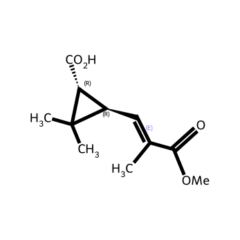 COC(=O)/C(C)=C/[C@@H]1[C@@H](C(=O)O)C1(C)C